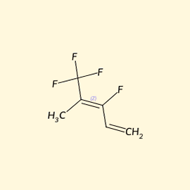 C=C/C(F)=C(\C)C(F)(F)F